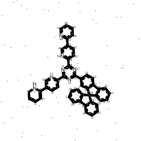 C1=CCNC(c2ccc(-c3nc(-c4ccc5c(c4)C4(c6ccccc6-c6ccccc64)c4ccccc4-5)nc(-c4ccc(-c5ccccn5)cn4)n3)nc2)=C1